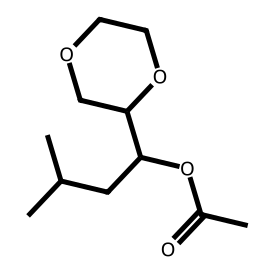 CC(=O)OC(CC(C)C)C1COCCO1